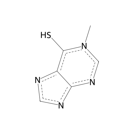 Cn1cnc2ncnc-2c1S